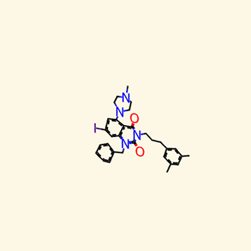 Cc1cc(C)cc(CCCn2c(=O)c3c(N4CCN(C)CC4)cc(I)cc3n(Cc3ccccc3)c2=O)c1